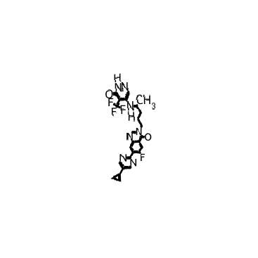 C[C@@H](CCCn1cnc2cc(-c3ncc(C4CC4)cn3)c(F)cc2c1=O)Nc1cn[nH]c(=O)c1C(F)(F)F